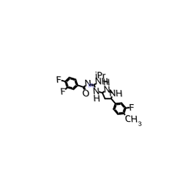 Cc1ccc(C2CC(N/C(=N\C(=O)c3ccc(F)c(F)c3)NC(C)C)NN2)cc1F